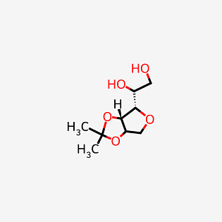 CC1(C)OC2CO[C@@H](C(O)CO)[C@H]2O1